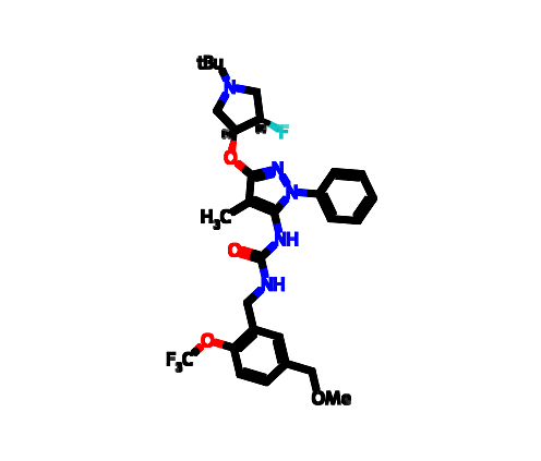 COCc1ccc(OC(F)(F)F)c(CNC(=O)Nc2c(C)c(O[C@H]3CN(C(C)(C)C)C[C@H]3F)nn2-c2ccccc2)c1